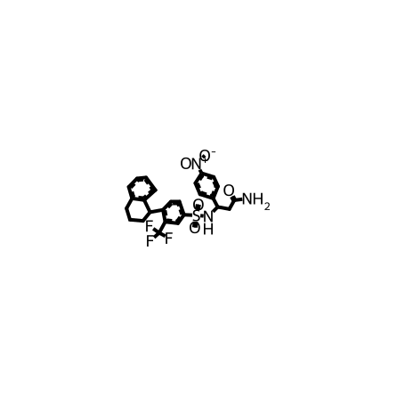 NC(=O)CC(NS(=O)(=O)c1ccc(C2CCCc3ccccc32)c(C(F)(F)F)c1)c1ccc([N+](=O)[O-])cc1